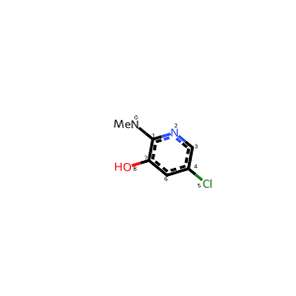 CNc1ncc(Cl)cc1O